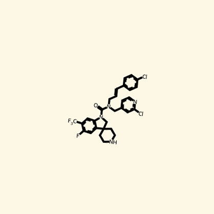 O=C(N(CC=Cc1ccc(Cl)cc1)Cc1ccnc(Cl)c1)N1CC2(CCNCC2)c2cc(F)c(C(F)(F)F)cc21